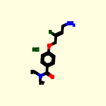 CC(C)N(C(=O)c1ccc(OCC(F)=CCN)cc1)C(C)C.Cl